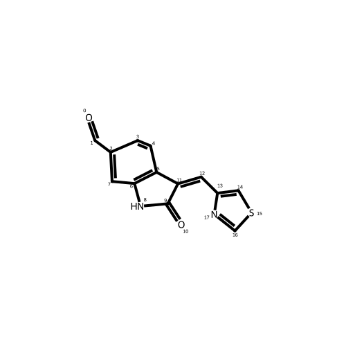 O=Cc1ccc2c(c1)NC(=O)C2=Cc1cscn1